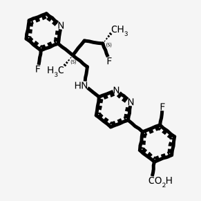 C[C@H](F)C[C@@](C)(CNc1ccc(-c2cc(C(=O)O)ccc2F)nn1)c1ncccc1F